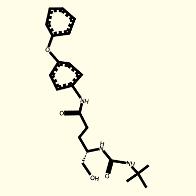 CC(C)(C)NC(=O)N[C@H](CO)CCC(=O)Nc1ccc(Oc2ccccc2)cc1